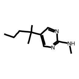 CCCC(C)(C)c1cnc(NC)nc1